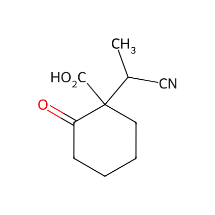 CC(C#N)C1(C(=O)O)CCCCC1=O